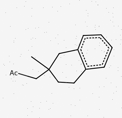 CC(=O)CC1(C)CCc2ccccc2C1